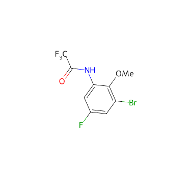 COc1c(Br)cc(F)cc1NC(=O)C(F)(F)F